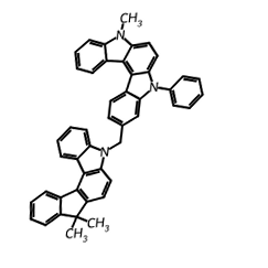 Cn1c2ccccc2c2c3c4ccc(Cn5c6ccccc6c6c7c(ccc65)C(C)(C)c5ccccc5-7)cc4n(-c4ccccc4)c3ccc21